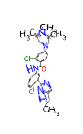 CCCc1cnc(-c2cc(NC(=O)c3ccc(N4C[C@@H](C)N(C)[C@@H](C)C4)cc3Cl)ccc2Cl)[nH]1